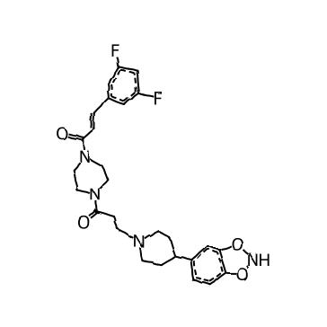 O=C(/C=C/c1cc(F)cc(F)c1)N1CCN(C(=O)CCN2CCC(c3ccc4c(c3)ONO4)CC2)CC1